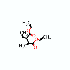 C=COC(=O)C(=C)C(C=C)C(=O)OC=C